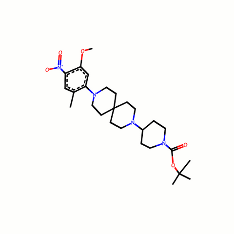 COc1cc(N2CCC3(CC2)CCN(C2CCN(C(=O)OC(C)(C)C)CC2)CC3)c(C)cc1[N+](=O)[O-]